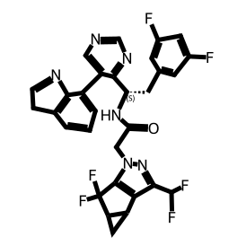 O=C(Cn1nc(C(F)F)c2c1C(F)(F)C1CC21)N[C@@H](Cc1cc(F)cc(F)c1)c1ncncc1-c1cccc2c1N=CC2